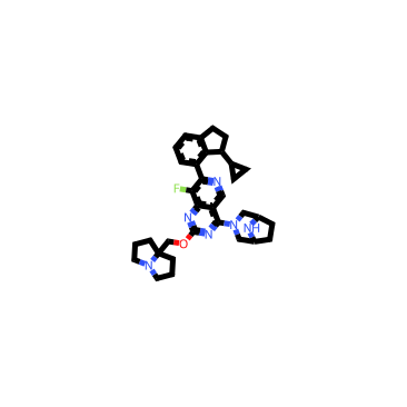 Fc1c(-c2cccc3c2C(C2CC2)CC3)ncc2c(N3CC4CCC(C3)N4)nc(OCC34CCCN3CCC4)nc12